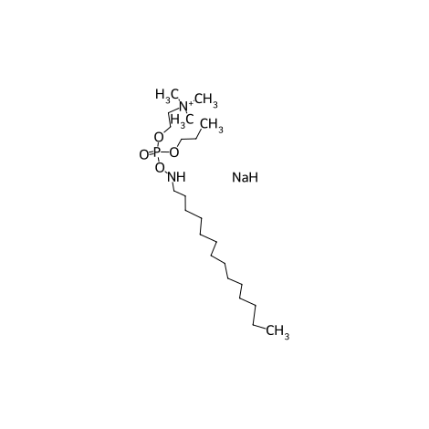 CCCCCCCCCCCCCCNOP(=O)(OCCC)OCC[N+](C)(C)C.[NaH]